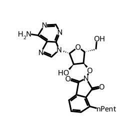 CCCCCc1cccc2c1C(=O)N(O[C@H]1[C@@H](O)[C@H](n3cnc4c(N)ncnc43)O[C@@H]1CO)C2=O